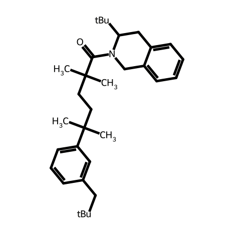 CC(C)(C)Cc1cccc(C(C)(C)CCC(C)(C)C(=O)N2Cc3ccccc3CC2C(C)(C)C)c1